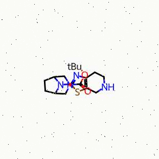 CC(C)(C)OC(=O)N1CC2CCC(C1)N2c1nc2c(s1)CNCC2